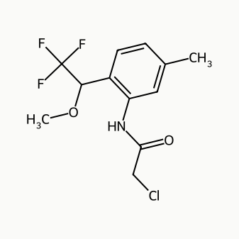 COC(c1ccc(C)cc1NC(=O)CCl)C(F)(F)F